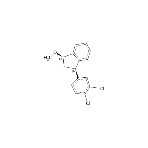 CO[C@@H]1C[C@H](c2ccc(Cl)c(Cl)c2)c2ccccc21